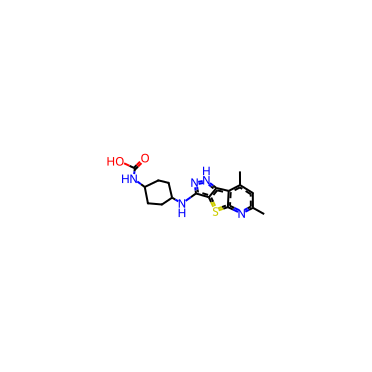 Cc1cc(C)c2c(n1)sc1c(NC3CCC(NC(=O)O)CC3)n[nH]c12